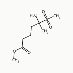 COC(=O)CCCC(C)(C)S(C)(=O)=O